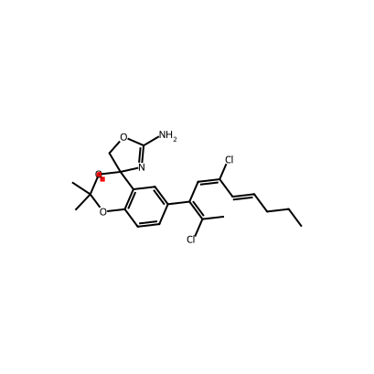 CCC/C=C/C(Cl)=C\C(=C(/C)Cl)c1ccc2c(c1)C1(COC(N)=N1)C1(COC1)C(C)(C)O2